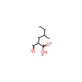 CCC(C)CC(C=O)C(=O)O